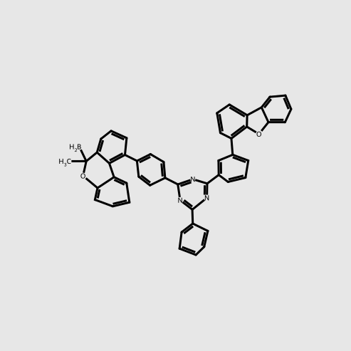 BC1(C)Oc2ccccc2-c2c(-c3ccc(-c4nc(-c5ccccc5)nc(-c5cccc(-c6cccc7c6oc6ccccc67)c5)n4)cc3)cccc21